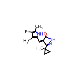 CCc1c(C)[nH]c(C=C2C(=O)NN=C2C2(C)CC2)c1C